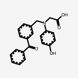 O=C(O)CN(Cc1cccc(C(=O)c2ccccc2)c1)c1ccc(O)cc1